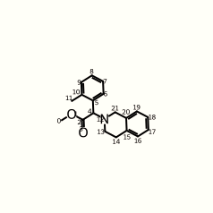 COC(=O)C(c1ccccc1C)N1CCc2ccccc2C1